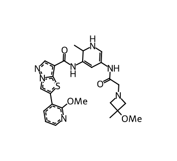 COc1ncccc1-c1cn2ncc(C(=O)NC3=CC(NC(=O)CN4CC(C)(OC)C4)=CNC3C)c2s1